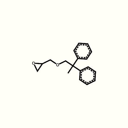 CC(COCC1CO1)(c1ccccc1)c1ccccc1